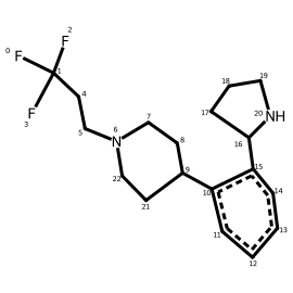 FC(F)(F)CCN1CCC(c2ccccc2C2CCCN2)CC1